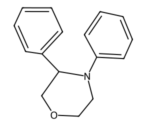 c1ccc(C2COCCN2c2ccccc2)cc1